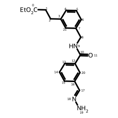 CCOC(=O)CCc1cccc(CNC(=O)c2cccc(C=NN)c2)c1